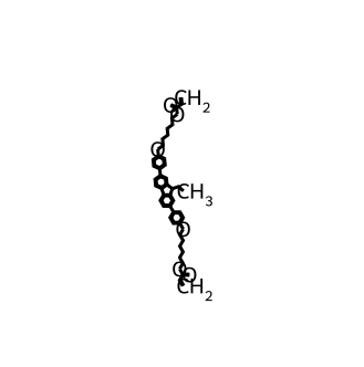 C=CC(=O)OCCCCCCOc1ccc(-c2ccc3c(c2)C(CC)c2cc(-c4ccc(OCCCCCCOC(=O)C=C)cc4)ccc2-3)cc1